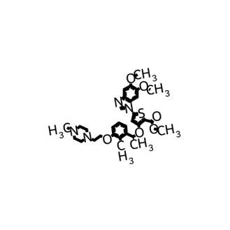 COC(=O)c1sc(-n2cnc3cc(OC)c(OC)cc32)cc1O[C@H](C)c1cccc(OCCN2CCN(C)CC2)c1C